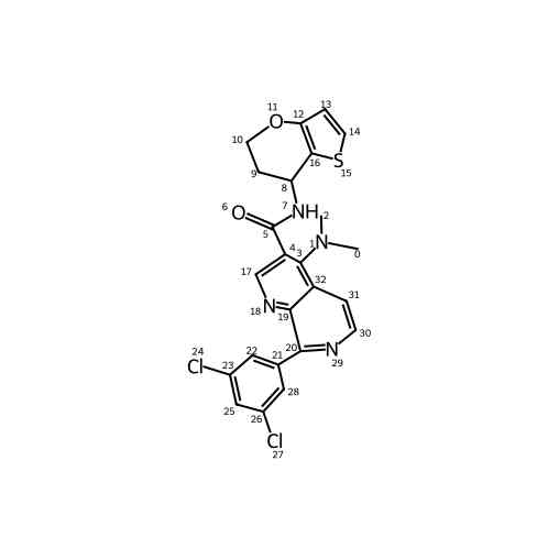 CN(C)c1c(C(=O)NC2CCOc3ccsc32)cnc2c(-c3cc(Cl)cc(Cl)c3)nccc12